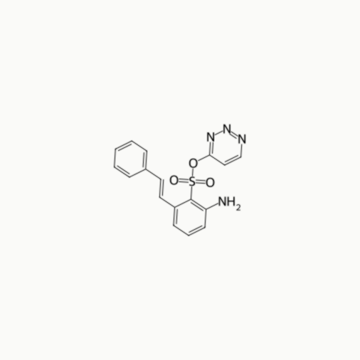 Nc1cccc(C=Cc2ccccc2)c1S(=O)(=O)Oc1ccnnn1